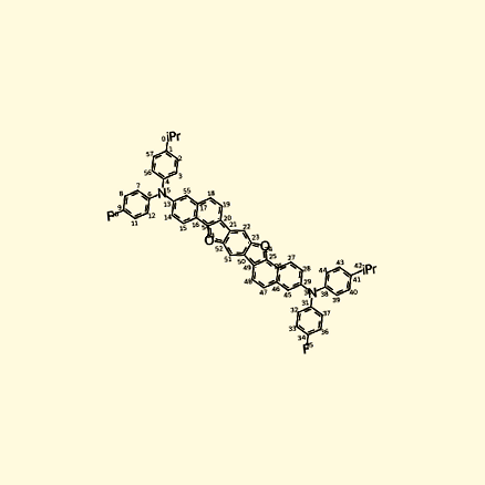 CC(C)c1ccc(N(c2ccc(F)cc2)c2ccc3c(ccc4c5cc6oc7c8ccc(N(c9ccc(F)cc9)c9ccc(C(C)C)cc9)cc8ccc7c6cc5oc34)c2)cc1